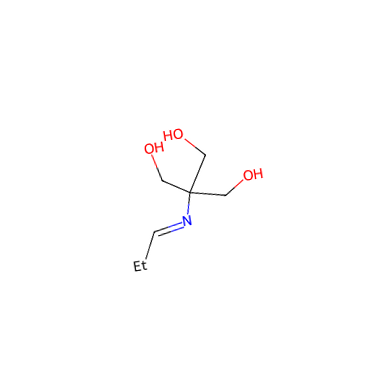 CCC=NC(CO)(CO)CO